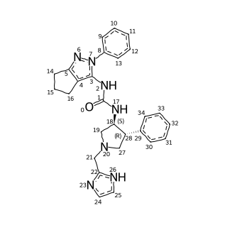 O=C(Nc1c2c(nn1-c1ccccc1)CCC2)N[C@@H]1CN(Cc2ncc[nH]2)C[C@H]1c1ccccc1